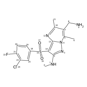 CNc1nn2c(C)c(CN)c(C)nc2c1S(=O)(=O)c1ccc(F)c(Cl)c1